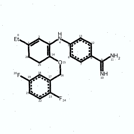 CCC1=CC(Nc2ccc(C(=N)N)cc2)=C(OCc2cc(F)ccc2F)[CH]C1